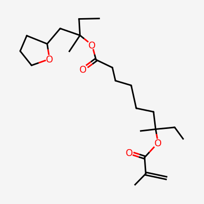 C=C(C)C(=O)OC(C)(CC)CCCCCC(=O)OC(C)(CC)CC1CCCO1